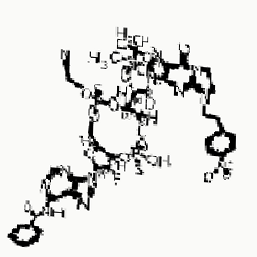 CC(C)(C)[Si](C)(C)O[C@@H]1[C@@H]2OP(=S)(OCCC#N)OC[C@H]3O[C@@H](n4cnc5c(NC(=O)c6ccccc6)ncnc54)[C@H](F)[C@@H]3OP(O)(=S)OC[C@H]2O[C@H]1n1cnc2c(=O)n3ccn(CCc4ccc([N+](=O)[O-])cc4)c3nc21